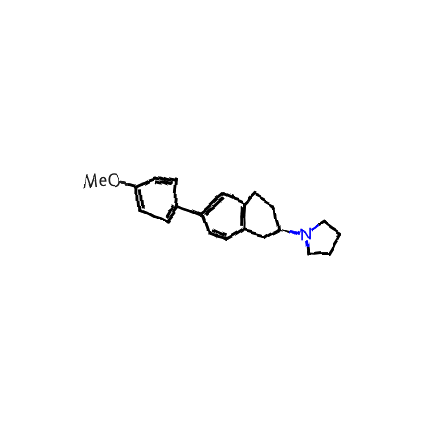 COc1ccc(-c2ccc3c(c2)CC[C@@H](N2CCCC2)C3)cc1